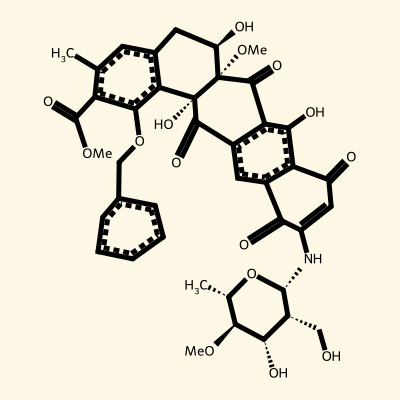 COC(=O)c1c(C)cc2c(c1OCc1ccccc1)[C@]1(O)C(=O)c3cc4c(c(O)c3C(=O)[C@]1(OC)[C@H](O)C2)C(=O)C=C(N[C@H]1O[C@@H](C)[C@H](OC)[C@@H](O)[C@H]1CO)C4=O